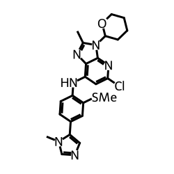 CSc1cc(-c2cncn2C)ccc1Nc1cc(Cl)nc2c1nc(C)n2C1CCCCO1